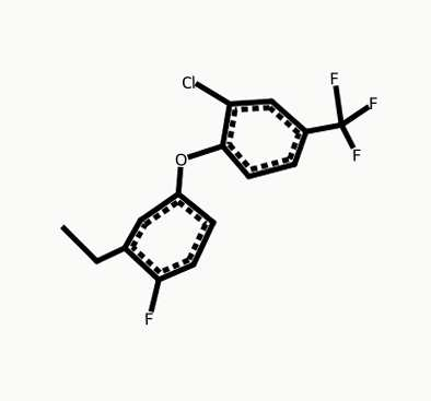 CCc1cc(Oc2ccc(C(F)(F)F)cc2Cl)ccc1F